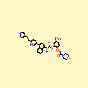 CC(C)(C)c1ccc(OCC(=O)N2CCOCC2)c(NC(=O)Nc2ccc(-c3ccc(CCc4ccncc4)nc3)c3ccccc23)c1